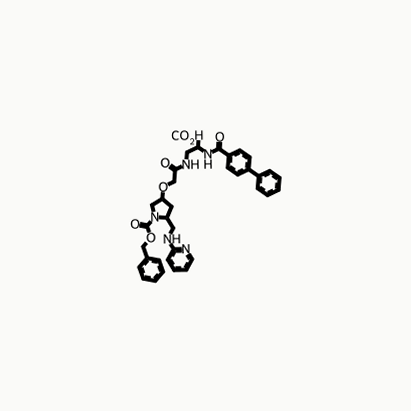 O=C(COC1CC(CNc2ccccn2)N(C(=O)OCc2ccccc2)C1)NCC(NC(=O)c1ccc(-c2ccccc2)cc1)C(=O)O